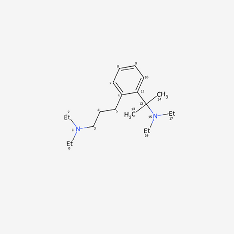 CCN(CC)CCCc1ccccc1C(C)(C)N(CC)CC